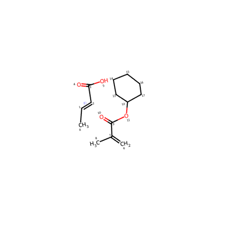 C/C=C/C(=O)O.C=C(C)C(=O)OC1CCCCC1